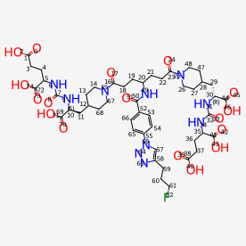 O=C(O)CCC(NC(=O)N[C@@H](CC1CCN(C(=O)CCC(CCC(=O)N2CCC(C[C@@H](NC(=O)NC(CCC(=O)O)C(=O)O)C(=O)O)CC2)NC(=O)c2ccc(-n3cc(CCCF)nn3)cc2)CC1)C(=O)O)C(=O)O